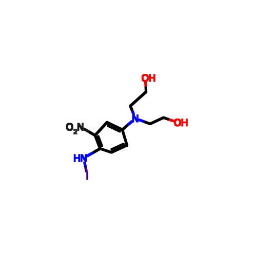 O=[N+]([O-])c1cc(N(CCO)CCO)ccc1NI